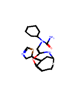 NC(=O)N(CC1NC2CCCC(O1)C(C1CN=CS1)C2)C1CCCCC1